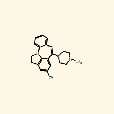 Cc1cc2c3c(c1)C(N1CCN(C)CC1)=Nc1ccccc1N3CC2